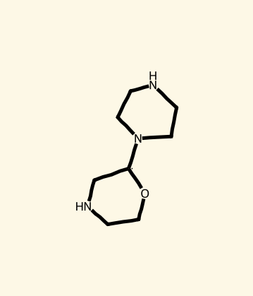 C1CN([C]2CNCCO2)CCN1